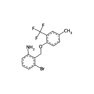 Cc1ccc(OCc2c(N)cccc2Br)c(C(F)(F)F)c1